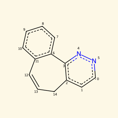 [c]1cc2c(nn1)-c1ccccc1C=CC2